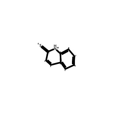 S=c1ccc2c[c]ccc2[nH]1